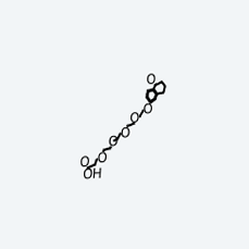 O=C(O)CCOCCOCCOCCOCCOc1ccc2c(c1)CCCC2=O